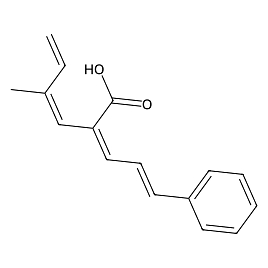 C=CC(C)=CC(=CC=Cc1ccccc1)C(=O)O